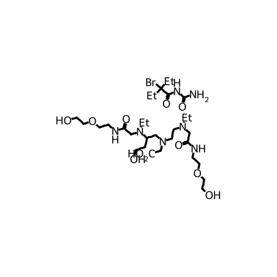 CCC(Br)(CC)C(=O)NC(N)=O.CCN(CCN(CC(=O)O)CC(CCO)N(CC)CC(=O)NCCOCCO)CC(=O)NCCOCCO